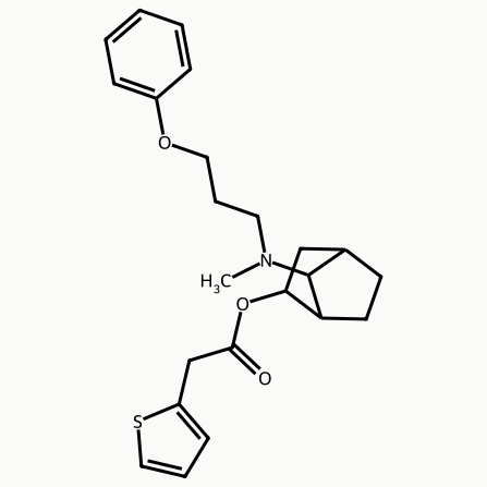 CN(CCCOc1ccccc1)C1C2CCC1C(OC(=O)Cc1cccs1)C2